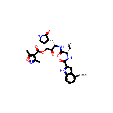 COc1cccc2[nH]c(C(=O)N[C@@H](CC(C)C)C(=O)N[C@@H](C[C@@H]3CCNC3=O)C(=O)COC(=O)c3c(C)noc3C)cc12